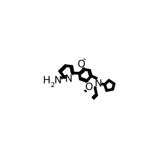 C=CCN(Cc1cc(OC)c(-c2cccc(N)n2)cc1OC)C1CCCC1